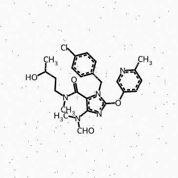 Cc1ccc(Oc2nc(N(C)C=O)c(C(=O)N(C)CCC(C)O)n2Cc2ccc(Cl)cc2)cn1